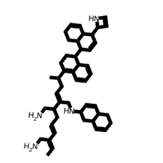 C/C=C(/C=C/CC(CN)/C(=C/CC(C)C1=C2C=CC=CC2C(C2C=CC(C3C=CN3)C3C=CCCC32)CC1)CNC1C=CC2CCC=CC2C1)CN